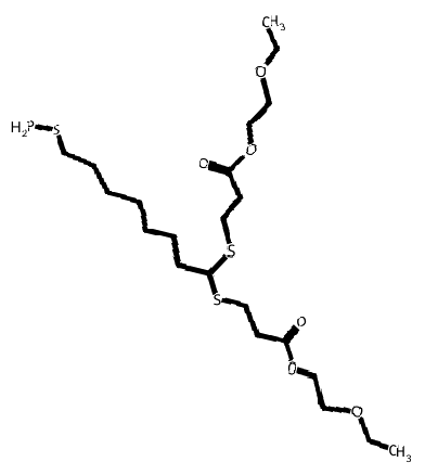 CCOCCOC(=O)CCSC(CCCCCCCSP)SCCC(=O)OCCOCC